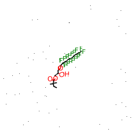 CCC(C)(C)C(=O)OCC(O)COCC(F)(F)C(F)(F)C(F)(F)C(F)(F)C(F)(F)C(F)(F)C(F)(F)C(F)F